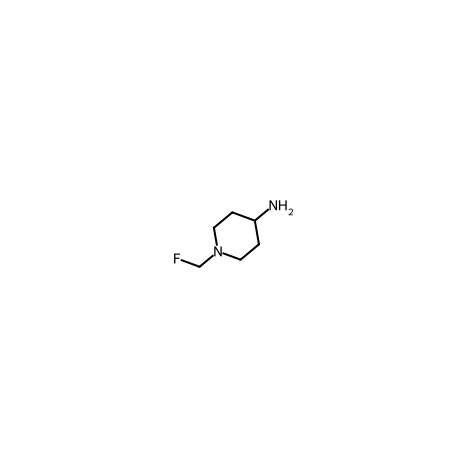 NC1CCN(CF)CC1